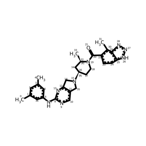 Cc1cc(C)cc(Nc2ncc3c(n2)CN([C@@H]2CCN(C(=O)c4ccc5[nH]nnc5c4C)[C@H](C)C2)C3)c1